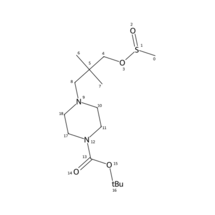 CS(=O)OCC(C)(C)CN1CCN(C(=O)OC(C)(C)C)CC1